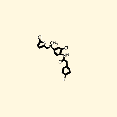 CN(Cc1ccc(Cl)s1)c1ccc(NC(=O)Cc2ccc(F)cc2)c(Cl)c1